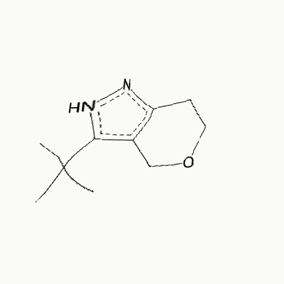 CC(C)(C)c1[nH]nc2c1COCC2